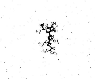 COC1(c2cc(-c3cn(C(C)C4CC4)c(=O)c4c(N)n[nH]c34)nn2C)CN(C(=O)C(C)C)C1